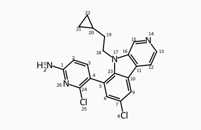 Nc1ccc(-c2cc(Cl)cc3c4ccncc4n(CCC4CC4)c23)c(Cl)n1